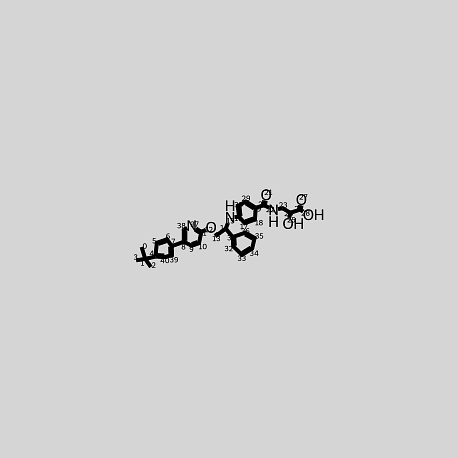 CC(C)(C)c1ccc(-c2ccc(OCC(Nc3ccc(C(=O)NCC(O)C(=O)O)cc3)c3ccccc3)nc2)cc1